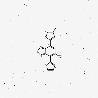 Cc1csc(-c2cc(Cl)c(-c3cccs3)c3nsnc23)c1